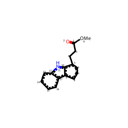 COC(=O)CCc1cccc2c1[nH]c1ccccc12